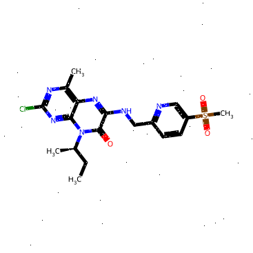 CC[C@@H](C)n1c(=O)c(NCc2ccc(S(C)(=O)=O)cn2)nc2c(C)nc(Cl)nc21